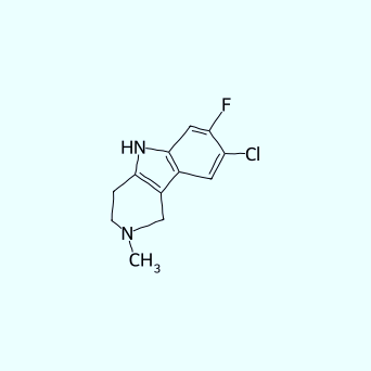 CN1CCc2[nH]c3cc(F)c(Cl)cc3c2C1